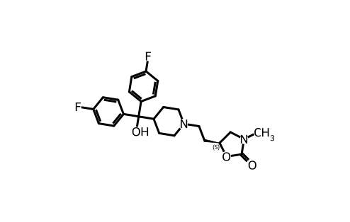 CN1C[C@H](CCN2CCC(C(O)(c3ccc(F)cc3)c3ccc(F)cc3)CC2)OC1=O